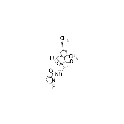 CC#Cc1cc(C)c(C2C(=O)CC(CCNC(=O)c3cccc(F)n3)C2=O)c(C)c1